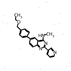 CCOCc1ccc(-c2ccc3nc(-c4cccnc4)nc(NC)c3c2)cc1